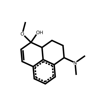 COC1(O)C=Cc2cccc3c2C1CCC3N(C)C